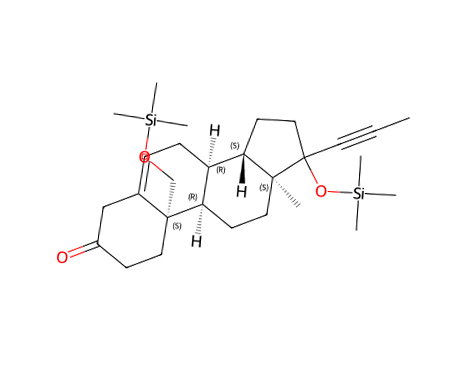 CC#CC1(O[Si](C)(C)C)CC[C@H]2[C@@H]3CC=C4CC(=O)CC[C@]4(CO[Si](C)(C)C)[C@@H]3CC[C@@]21C